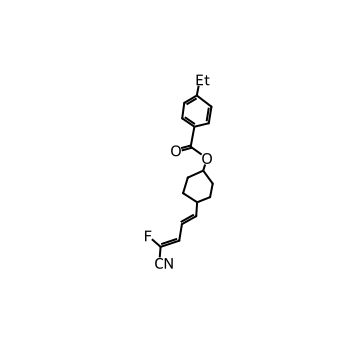 CCc1ccc(C(=O)OC2CCC(C=CC=C(F)C#N)CC2)cc1